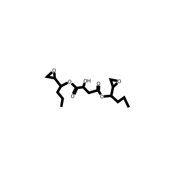 CCCC(OC(=O)CC(O)C(=O)OC(CCC)C1CO1)C1CO1